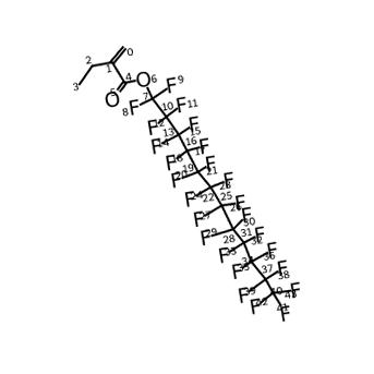 C=C(CC)C(=O)OC(F)(F)C(F)(F)C(F)(F)C(F)(F)C(F)(F)C(F)(F)C(F)(F)C(F)(F)C(F)(F)C(F)(F)C(F)(F)C(F)(F)F